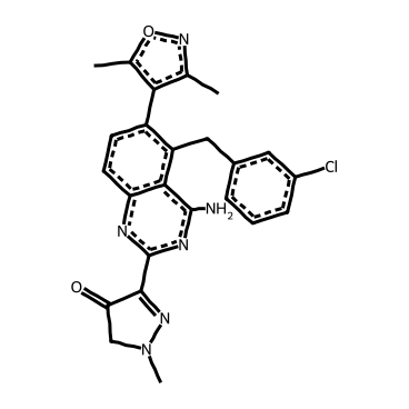 Cc1noc(C)c1-c1ccc2nc(C3=NN(C)CC3=O)nc(N)c2c1Cc1cccc(Cl)c1